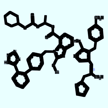 CCCCc1ncc(/C=C(\Cc2cccs2)C(=O)O)n1Cc1ccc(C(=O)O)cc1.CCOc1nc2cccc(C(=O)OC(C)OC(=O)OC3CCCCC3)c2n1Cc1ccc(-c2ccccc2-c2nnn[nH]2)cc1